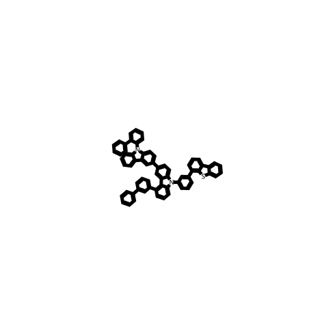 c1ccc(-c2cccc(-c3cccc4c3c3cc(-c5ccc6c(c5)c5ccccc5n6-c5ccccc5-c5ccccc5)ccc3n4-c3cccc(-c4cccc5c4sc4ccccc45)c3)c2)cc1